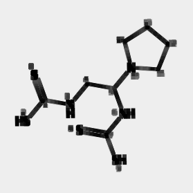 S=C(S)NCC(NC(=S)S)N1CCCC1